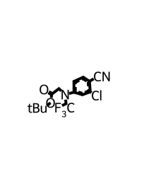 CC(C)(C)OC(=O)CN(CC(F)(F)F)c1ccc(C#N)c(Cl)c1